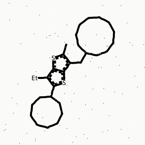 CCc1c(C2CCCCCCCC2)sc2c(CC3CCCCCCCCCC3)c(C)sc12